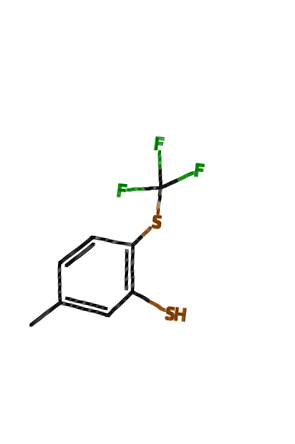 Cc1ccc(SC(F)(F)F)c(S)c1